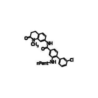 CCCCCNc1cc(C(=O)Nc2ccc3c(c2)N(C)C(=O)CC3)ccc1-c1cccc(Cl)c1